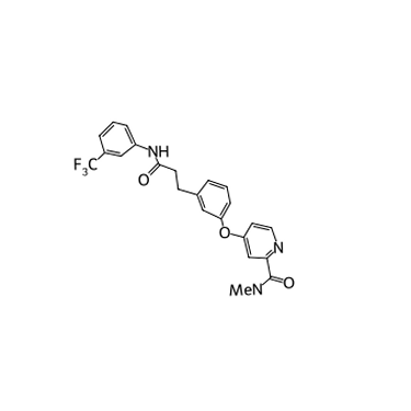 CNC(=O)c1cc(Oc2cccc(CCC(=O)Nc3cccc(C(F)(F)F)c3)c2)ccn1